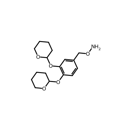 NOCc1ccc(OC2CCCCO2)c(OC2CCCCO2)c1